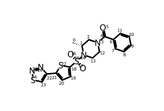 C[C@@H]1CN(C(=O)c2ccccc2)CCN1S(=O)(=O)c1ccc(-c2csnn2)s1